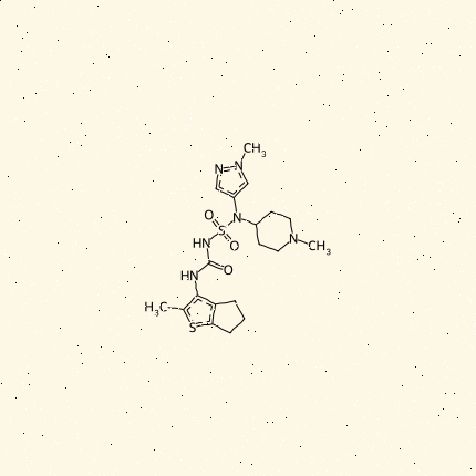 Cc1sc2c(c1NC(=O)NS(=O)(=O)N(c1cnn(C)c1)C1CCN(C)CC1)CCC2